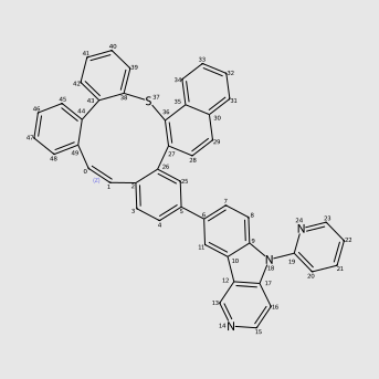 C1=C\c2ccc(-c3ccc4c(c3)c3cnccc3n4-c3ccccn3)cc2-c2ccc3ccccc3c2Sc2ccccc2-c2ccccc2/1